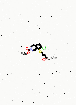 COC(=O)CCCSc1c(Cl)ccc2c1CCN(C(=O)OC(C)(C)C)CC2